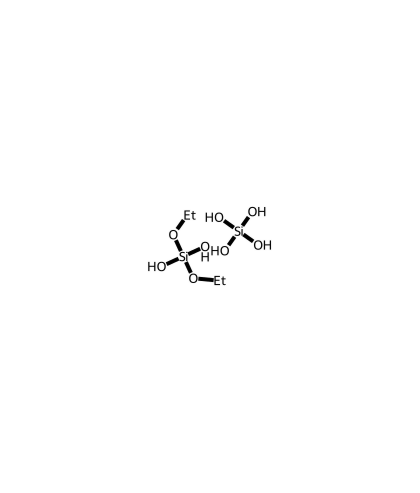 CCO[Si](O)(O)OCC.O[Si](O)(O)O